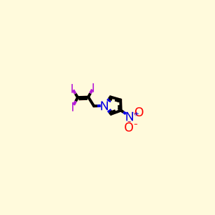 O=[N+]([O-])c1ccn(CC(I)=C(I)I)c1